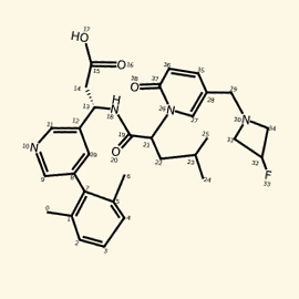 Cc1cccc(C)c1-c1cncc([C@H](CC(=O)O)NC(=O)C(CC(C)C)n2cc(CN3CC(F)C3)ccc2=O)c1